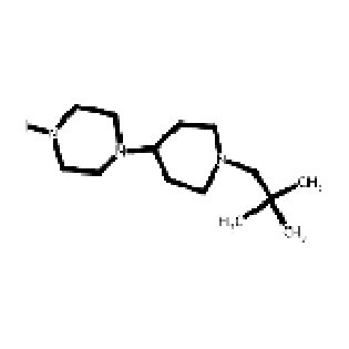 CC(C)(C)CN1CCC(N2CCN(I)CC2)CC1